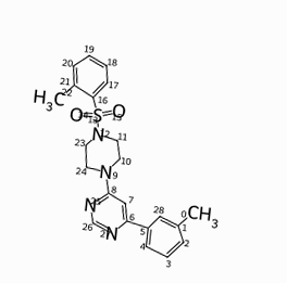 Cc1cccc(-c2cc(N3CCN(S(=O)(=O)c4ccccc4C)CC3)ncn2)c1